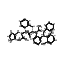 CC(=O)N(c1ccccc1N(Cc1ccccc1)c1c(Cl)cccc1Cl)[C@@H](Cc1ccccc1)C(=O)N[C@@H](Cc1c[nH]cn1)C(=O)O